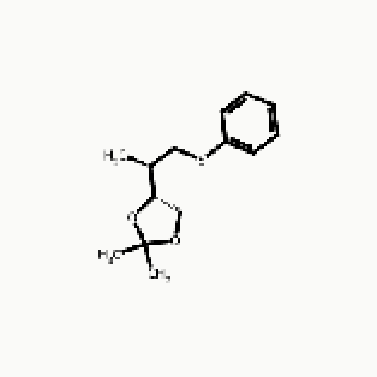 C[C@@H](CSc1ccccc1)[C@@H]1COC(C)(C)O1